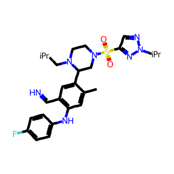 Cc1cc(Nc2ccc(F)cc2)c(C=N)cc1C1CN(S(=O)(=O)c2cnn(C(C)C)n2)CCN1CC(C)C